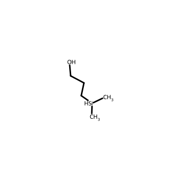 C[SiH](C)CCCO